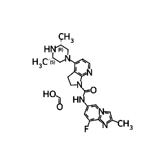 Cc1cn2cc(NC(=O)N3CCc4c(N5C[C@@H](C)N[C@@H](C)C5)ccnc43)cc(F)c2n1.O=CO